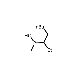 CCCCCC(CC)P(C)O